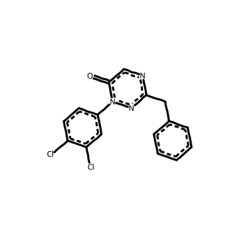 O=c1cnc(Cc2ccccc2)nn1-c1ccc(Cl)c(Cl)c1